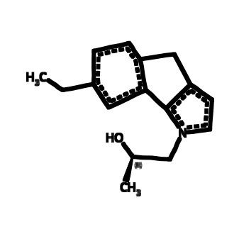 CCc1ccc2c(c1)-c1c(ccn1C[C@@H](C)O)C2